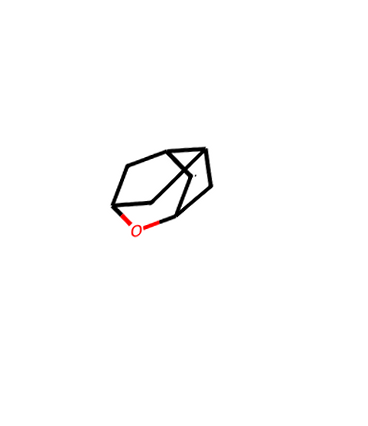 [CH]1C2CC3CC(CC13)O2